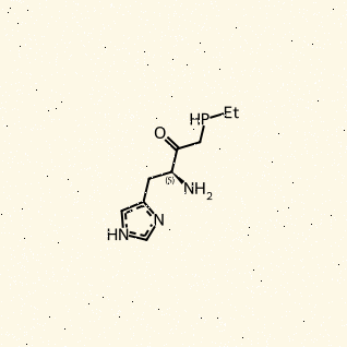 CCPCC(=O)[C@@H](N)Cc1c[nH]cn1